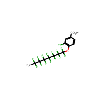 O=C(O)c1ccc(OC(F)(F)C(F)(F)C(F)(F)C(F)(F)C(F)(F)C(F)(F)C(F)(F)C(F)(F)F)c(Cl)c1